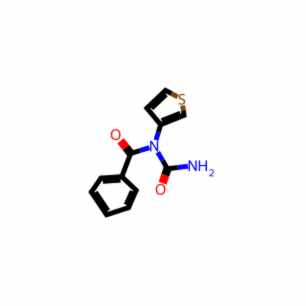 NC(=O)N(C(=O)c1ccccc1)c1ccsc1